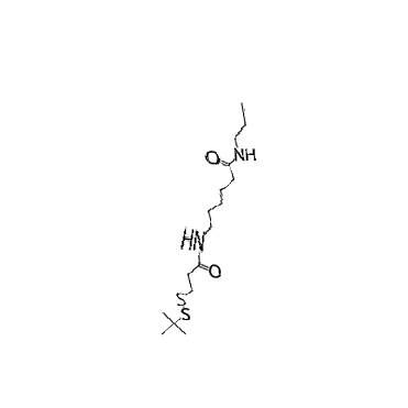 CCCNC(=O)CCCCCNC(=O)CCSSC(C)(C)C